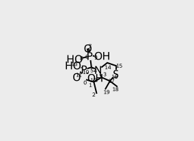 CC(C)C1N(C(P(=O)(O)O)P(=O)(O)O)CCSC1(C)C